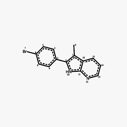 Cc1c(-c2ccc(Br)cc2)[nH]c2ncccc12